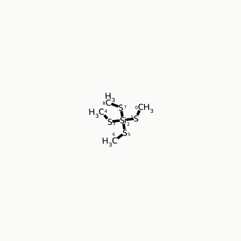 CS[Si](SC)(SC)SC